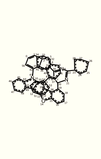 C1=CC2Oc3cccc(-c4cccc5oc6cccc(C7N=C(c8ccccc8)N=C(c8ccccc8)N7)c6c45)c3C2C(n2c3ccccc3c3ccccc32)=C1